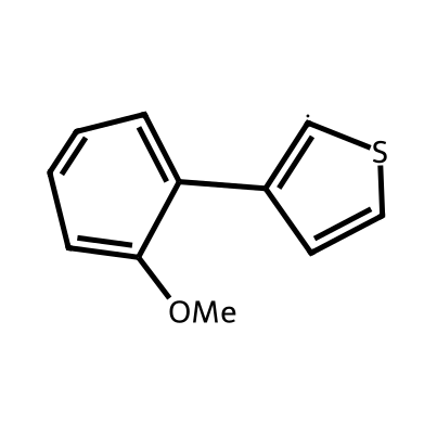 COc1ccccc1-c1[c]scc1